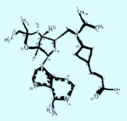 CC(C)N(C[C@H]1O[C@@H](n2cnc3c(N)ncnc32)[C@@H]2OC(C)(C)O[C@@H]21)C1CC(C=CC(=O)O)C1